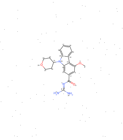 COc1cc(C(=O)N=C(N)N)cc2c1c1ccccc1n2C1CCOCC1